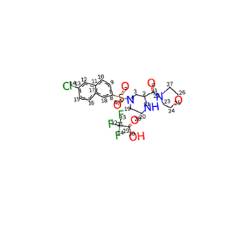 O=C(C1CN(S(=O)(=O)c2ccc3cc(Cl)ccc3c2)CCN1)N1CCOCC1.O=C(O)C(F)(F)F